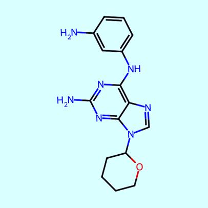 Nc1cccc(Nc2nc(N)nc3c2ncn3C2CCCCO2)c1